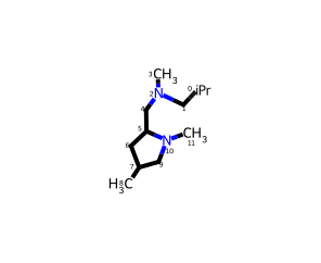 CC(C)CN(C)CC1CC(C)CN1C